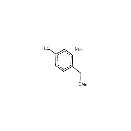 [CH2]c1ccc(COC)cc1.[NaH]